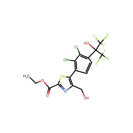 CCOC(=O)c1nc(CO)c(-c2ccc(C(O)(C(F)(F)F)C(F)(F)F)c(Cl)c2Cl)s1